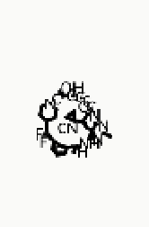 Cc1nc2c3cc(C4(C#N)CC4)c(=O)n(c3n1)CCCCC(C)(O)CN1CCC(CC1)C(F)(F)c1cccc(c1F)[C@@H](C)N2